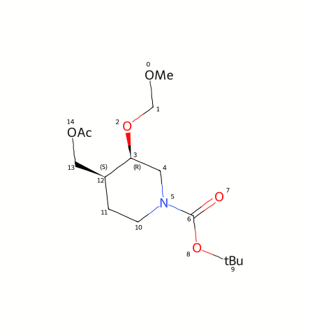 COCO[C@H]1CN(C(=O)OC(C)(C)C)CC[C@H]1COC(C)=O